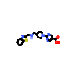 O=C(O)c1cnc(N2CCC(CNCc3nc4ccccc4s3)CC2)nc1